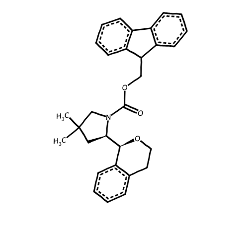 CC1(C)C[C@H]([C@H]2OCCc3ccccc32)N(C(=O)OCC2c3ccccc3-c3ccccc32)C1